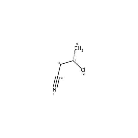 C[C@H](Cl)CC#N